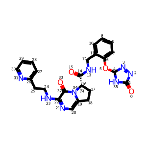 O=C1N=NC(Oc2ccccc2CNC(=O)[C@@H]2CCc3cnc(NCCc4ccccn4)c(=O)n32)N1